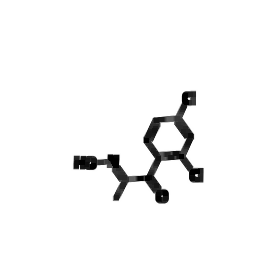 CC(=NO)C(=O)c1ccc(Cl)cc1Cl